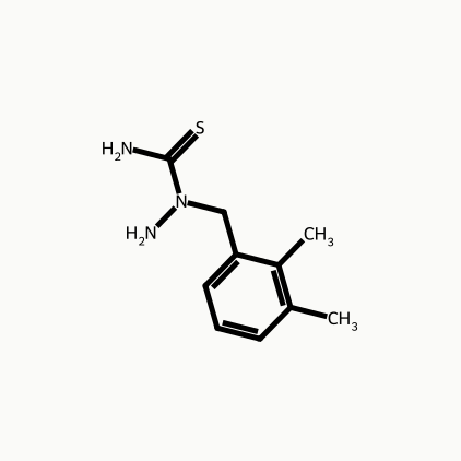 Cc1cccc(CN(N)C(N)=S)c1C